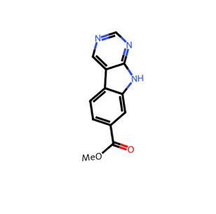 COC(=O)c1ccc2c(c1)[nH]c1ncncc12